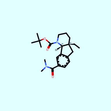 CC[C@]12CCCN(C(=O)OC(C)(C)C)[C@H]1c1cc(C(=O)N(C)C)ccc1C2